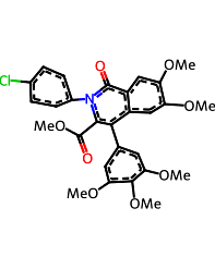 COC(=O)c1c(-c2cc(OC)c(OC)c(OC)c2)c2cc(OC)c(OC)cc2c(=O)n1-c1ccc(Cl)cc1